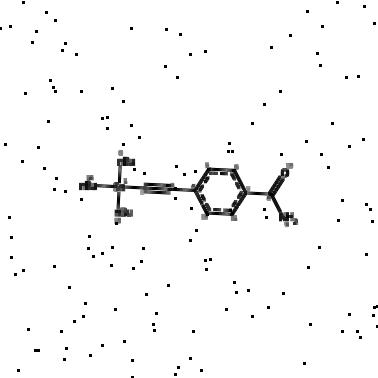 CCC[CH2][Sn]([C]#Cc1ccc(C(N)=O)cc1)([CH2]CCC)[CH2]CCC